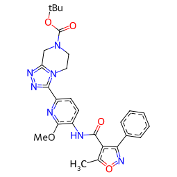 COc1nc(-c2nnc3n2CCN(C(=O)OC(C)(C)C)C3)ccc1NC(=O)c1c(-c2ccccc2)noc1C